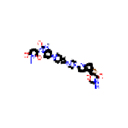 C[C@@H]1COc2c(sc3ccc4nc(N5CCN(C6CC7(CCN(c8ccc9c(c8)n(C)c(=O)n9C8CCC(=O)NC8=O)CC7)C6)CC5)ccc4c23)C(=O)N1